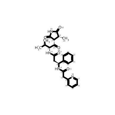 CC(C)[C@@H](NC(=O)C[C@H](NC(=O)Cc1ccccn1)c1ccccc1)C(=O)[C@@H]1C(=O)NC(=O)[C@@H]1C